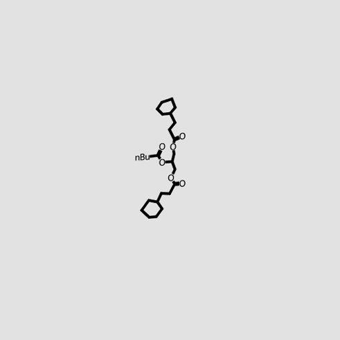 CCCCC(=O)OC(COC(=O)CCC1CCCCC1)COC(=O)CCC1CCCCC1